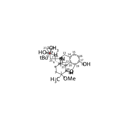 COC1(C)CC[C@@]2(CC[C@](C)(O)C(C)(C)C)[C@H]3Cc4ccc(O)c5c4[C@@]2(CCN3CC2CC2)[C@H]1O5